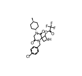 C[C@H]1CC[C@H](N2CC(=O)N(Cc3ccc(Cl)cc3)C3(CNC3OC(=O)C(F)(F)F)C2=O)CC1